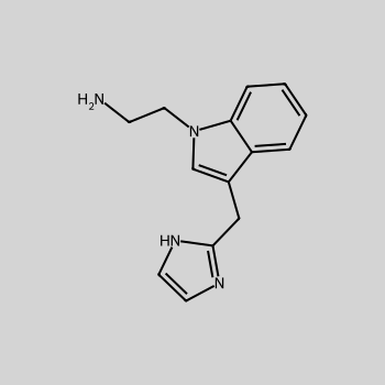 NCCn1cc(Cc2ncc[nH]2)c2ccccc21